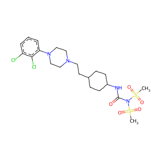 CS(=O)(=O)N(C(=O)NC1CCC(CCN2CCN(c3cccc(Cl)c3Cl)CC2)CC1)S(C)(=O)=O